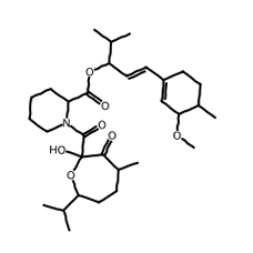 COC1C=C(/C=C/C(OC(=O)C2CCCCN2C(=O)C2(O)OC(C(C)C)CCC(C)C2=O)C(C)C)CCC1C